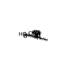 CCCCCCCCCCCCCCCCCCCCCC(=O)O.O=[N+]([O-])/N=C1\NCCN1Cc1ccc(Cl)nc1